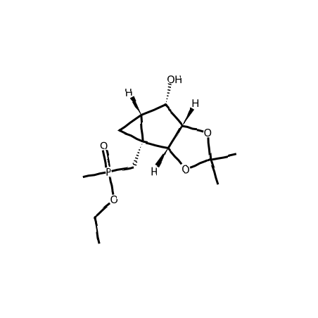 CCOP(C)(=O)C[C@]12C[C@@H]1[C@H](O)[C@@H]1OC(C)(C)O[C@@H]12